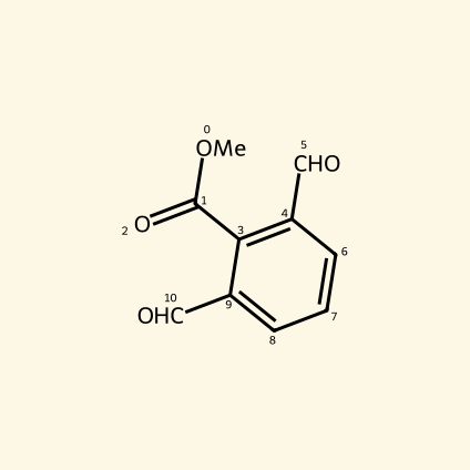 COC(=O)c1c(C=O)cccc1C=O